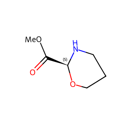 COC(=O)[C@H]1NCCCO1